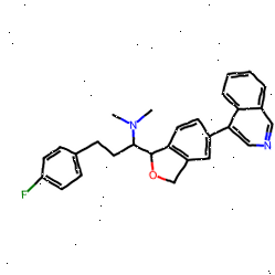 CN(C)C(CCc1ccc(F)cc1)C1OCc2cc(-c3cncc4ccccc34)ccc21